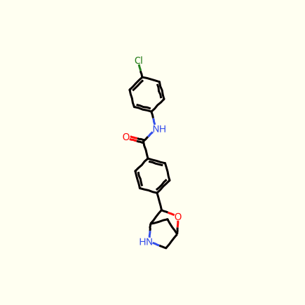 O=C(Nc1ccc(Cl)cc1)c1ccc(C2OC3CNC2C3)cc1